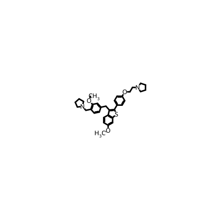 COc1ccc2c(Cc3ccc(CN4CCCC4)c(OC)c3)c(-c3ccc(OCCN4CCCC4)cc3)sc2c1